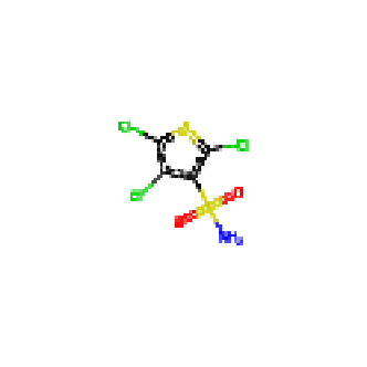 NS(=O)(=O)c1c(Cl)sc(Cl)c1Cl